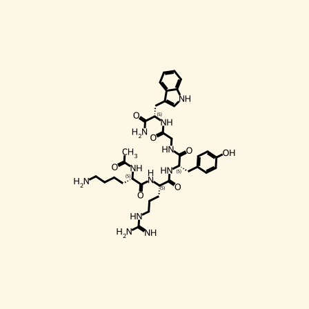 CC(=O)N[C@@H](CCCCN)C(=O)N[C@@H](CCCNC(=N)N)C(=O)N[C@@H](Cc1ccc(O)cc1)C(=O)NCC(=O)N[C@@H](Cc1c[nH]c2ccccc12)C(N)=O